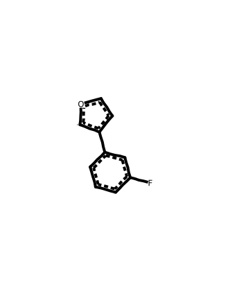 Fc1cccc(-c2[c]occ2)c1